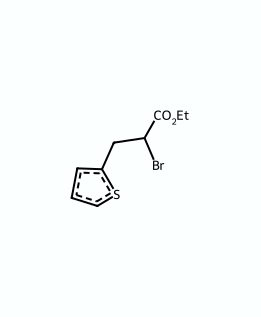 CCOC(=O)C(Br)Cc1cccs1